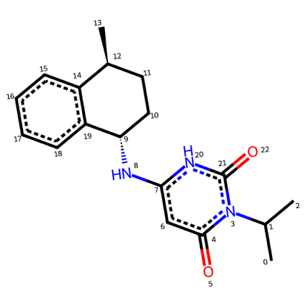 CC(C)n1c(=O)cc(N[C@H]2CC[C@H](C)c3ccccc32)[nH]c1=O